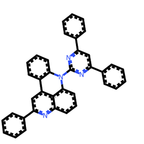 c1ccc(-c2cc(-c3ccccc3)nc(N3c4ccccc4-c4cc(-c5ccccc5)nc5cccc3c45)n2)cc1